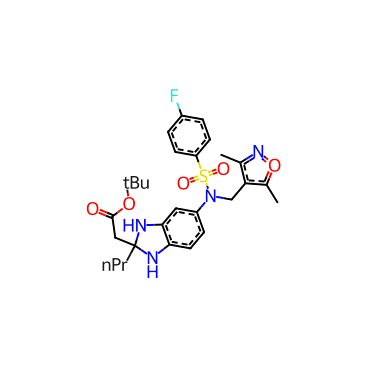 CCCC1(CC(=O)OC(C)(C)C)Nc2ccc(N(Cc3c(C)noc3C)S(=O)(=O)c3ccc(F)cc3)cc2N1